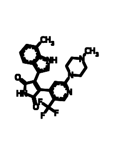 Cc1cccc2c(C3=C(c4cc(N5CCN(C)CC5)ncc4C(F)(F)F)C(=O)NC3=O)c[nH]c12